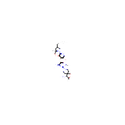 COCC1C[C@H]2COc3c(Sc4c(N)nc(N5CCC6(CC5)CO[C@@H](C)[C@H]6N)n(C)c4=O)ccnc3N2C1